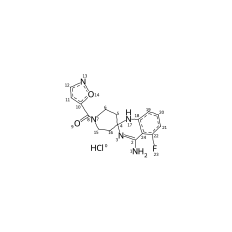 Cl.NC1=NC2(CCN(C(=O)c3ccno3)CC2)Nc2cccc(F)c21